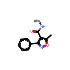 CCCCNC(=O)c1c(-c2ccccc2)noc1C